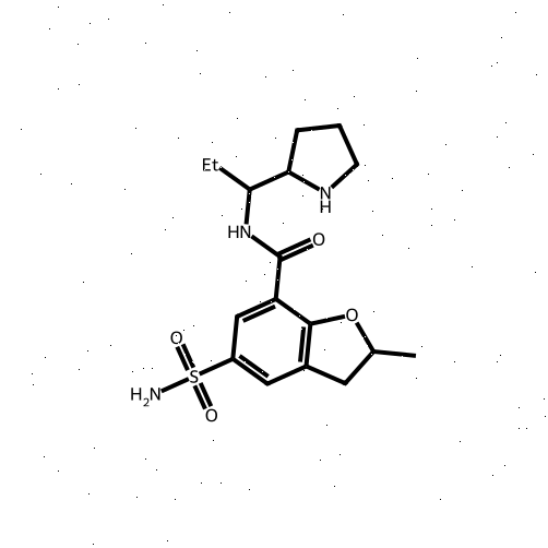 CCC(NC(=O)c1cc(S(N)(=O)=O)cc2c1OC(C)C2)C1CCCN1